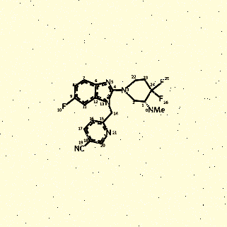 CN[C@@H]1CN(c2nc3ccc(F)cc3n2Cc2ccc(C#N)cn2)CCC1(F)F